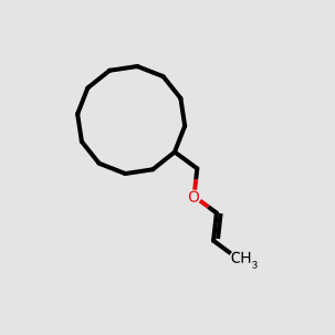 CC=COCC1CCCCCCCCCCC1